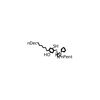 CCCCCCCCCCCCCCCCc1cc(S)c(Sc2nnc(CCCCC)n2-c2ccccc2)cc1O